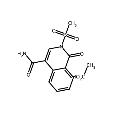 CC(=O)O.CS(=O)(=O)n1cc(C(N)=O)c2ccccc2c1=O